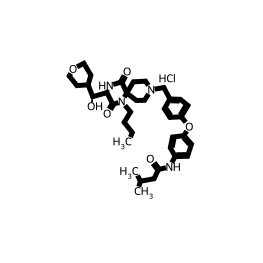 CCCCN1C(=O)[C@@H]([C@H](O)C2CCOCC2)NC(=O)C12CCN(Cc1ccc(Oc3ccc(NC(=O)CC(C)C)cc3)cc1)CC2.Cl